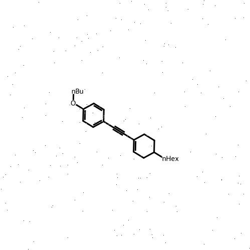 CCCCCCC1CC=C(C#Cc2ccc(OCCCC)cc2)CC1